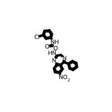 O=C(Nc1cccc(Cl)c1)ONC1=Nc2ccc([N+](=O)[O-])cc2C(c2ccccc2)=NC1